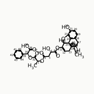 C[C@H](OC(=O)C[C@H](O)C(=O)OC1=CC[C@@]2(O)[C@H]3Cc4ccc(O)c5c4[C@@]2(CCN3C)[C@H]1O5)C(=O)O[C@H](C(=O)O)c1ccccc1